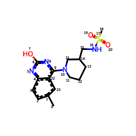 Cc1ccc2nc(O)nc(N3CCCC(CNS(C)(=O)=O)C3)c2c1